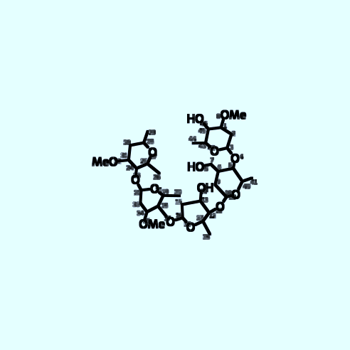 COC1CC(OC2C(CO)CC(OC3C(O)CC(OC4C(C)OC(OC5C(C)OC(C)CC5OC)CC4OC)OC3C)OC2C)OC(C)C1O